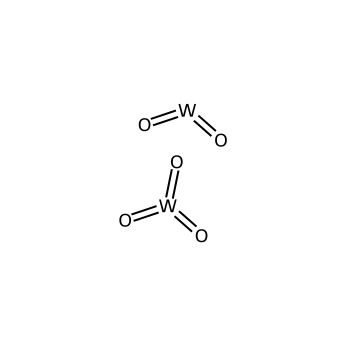 [O]=[W](=[O])=[O].[O]=[W]=[O]